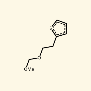 COCOCCc1cccs1